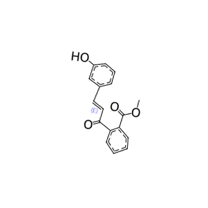 COC(=O)c1ccccc1C(=O)/C=C/c1cccc(O)c1